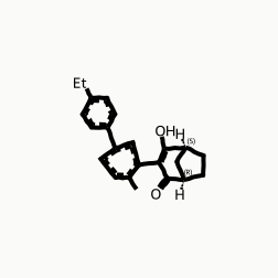 CCc1ccc(-c2ccc(C)c(C3=C(O)[C@H]4CC[C@H](C4)C3=O)c2)cc1